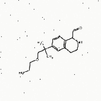 CC(C)(COCCO)c1ccc2c(c1)CCNC2C=O